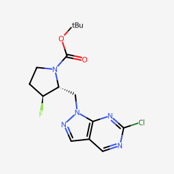 CC(C)(C)OC(=O)N1CC[C@H](F)[C@H]1Cn1ncc2cnc(Cl)nc21